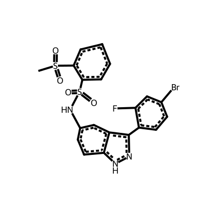 CS(=O)(=O)c1ccccc1S(=O)(=O)Nc1ccc2[nH]nc(-c3ccc(Br)cc3F)c2c1